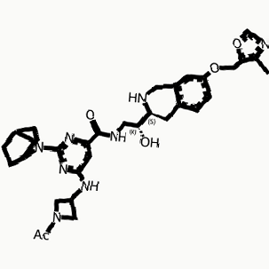 CC(=O)N1CC(Nc2cc(C(=O)NC[C@@H](O)[C@@H]3Cc4ccc(OCc5ocnc5C)cc4CN3)nc(N3CC4CCC3C4)n2)C1